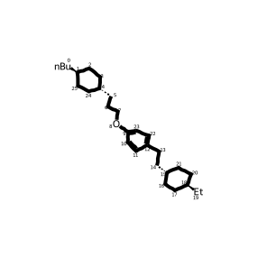 CCCC[C@H]1CC[C@H](CCCOc2ccc(CC[C@H]3CC[C@H](CC)CC3)cc2)CC1